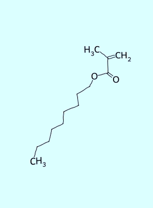 C=C(C)C(=O)OCCCCCCCCC